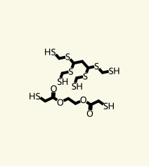 O=C(CS)OCCOC(=O)CS.SCSC(CC(SCS)SCS)SCS